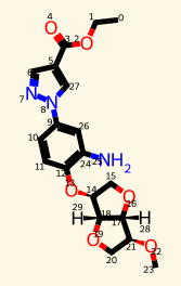 CCOC(=O)c1cnn(-c2ccc(O[C@H]3CO[C@H]4[C@@H]3OC[C@@H]4OC)c(N)c2)c1